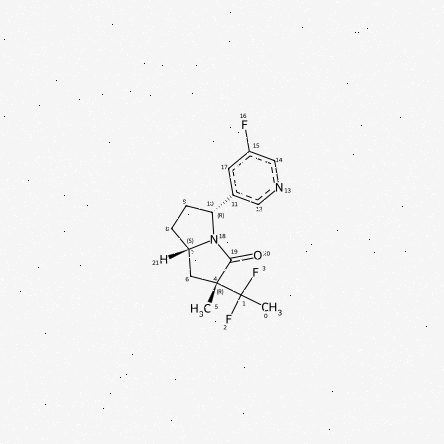 CC(F)(F)[C@]1(C)C[C@@H]2CC[C@H](c3cncc(F)c3)N2C1=O